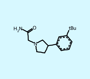 CC(C)(C)c1cccc(C2CCN(CC(N)=O)C2)c1